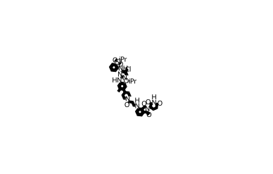 Cc1cc(Nc2ncc(Cl)c(Nc3ccccc3S(=O)(=O)C(C)C)n2)c(OC(C)C)cc1C1CCN(C(=O)CCNc2cccc3c2C(=O)N(C2CCC(=O)NC2=O)C3=O)CC1